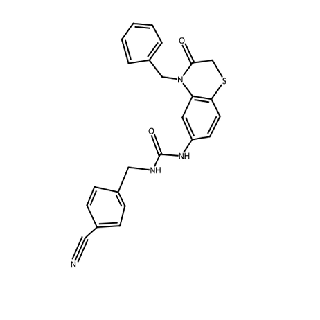 N#Cc1ccc(CNC(=O)Nc2ccc3c(c2)N(Cc2ccccc2)C(=O)CS3)cc1